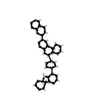 c1ccc2cc(-c3ccc4cc(-c5ccc(-c6cccc7c6sc6ccccc67)cc5)c5ccccc5c4c3)ccc2c1